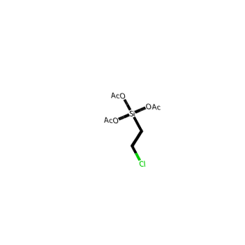 CC(=O)O[Si](CCCl)(OC(C)=O)OC(C)=O